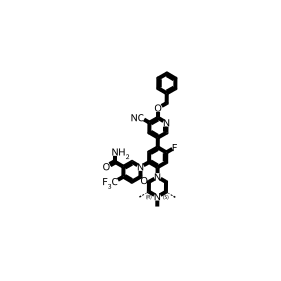 C[C@@H]1CN(c2cc(F)c(-c3cnc(OCc4ccccc4)c(C#N)c3)cc2-n2cc(C(N)=O)c(C(F)(F)F)cc2=O)C[C@H](C)N1C